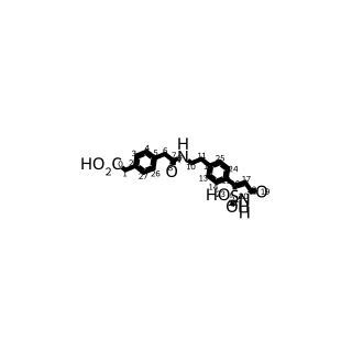 O=C(O)Cc1ccc(CC(=O)NCCc2ccc(C3=CC(=O)NS3(O)O)cc2)cc1